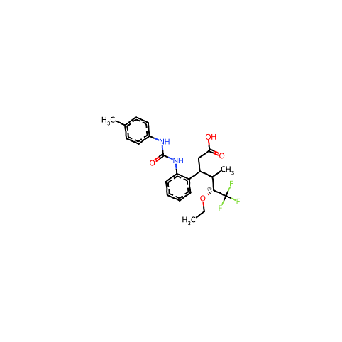 CCO[C@H](C(C)C(CC(=O)O)c1ccccc1NC(=O)Nc1ccc(C)cc1)C(F)(F)F